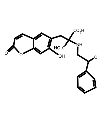 O=C(O)C(Cc1cc2ccc(=O)oc2cc1O)(NCC(O)c1ccccc1)C(=O)O